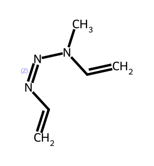 C=C/N=N\N(C)C=C